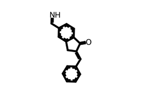 N=Cc1ccc2c(c1)C/C(=C\c1ccccc1)C2=O